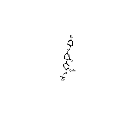 CCc1ccc(COc2ccn(-c3ccc(OCC(C)(C)O)c(OC)c3)c(=O)n2)cc1